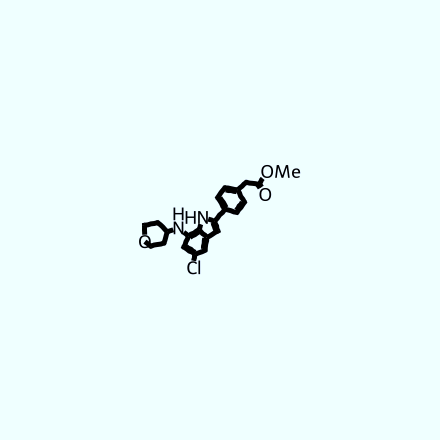 COC(=O)Cc1ccc(-c2cc3cc(Cl)cc(NC4CCOCC4)c3[nH]2)cc1